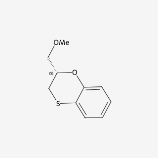 COC[C@H]1CSc2ccccc2O1